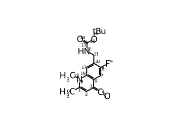 CC1=CC(=C=O)c2cc(F)c(CNC(=O)OC(C)(C)C)cc2N1C